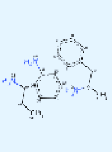 CC(N)Cc1ccccc1.CCCN.Nc1ccccc1